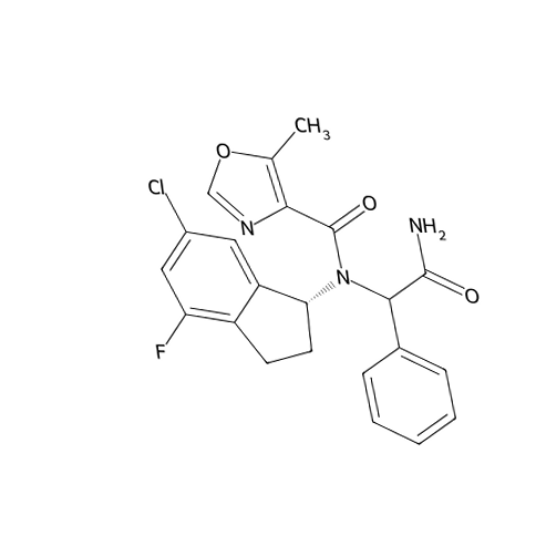 Cc1ocnc1C(=O)N(C(C(N)=O)c1ccccc1)[C@@H]1CCc2c(F)cc(Cl)cc21